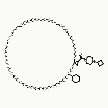 O=C(C1CC12CCCCCCCCCCCCCCCCCCCCCCCCCCCCCCCCCCCCCCCCCCCCCCCCN(C1CCCCC1)CC2)N1CCN(C2CCC2)CC1